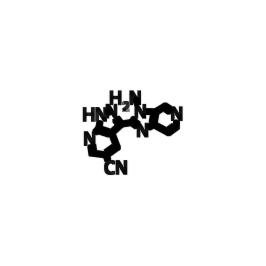 N#Cc1cnc2[nH]nc(-c3nc4ccncc4n3N)c2c1